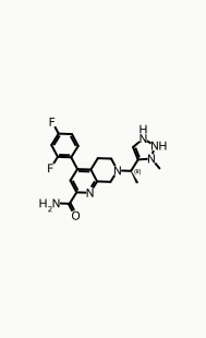 C[C@H](C1=CNNN1C)N1CCc2c(-c3ccc(F)cc3F)cc(C(N)=O)nc2C1